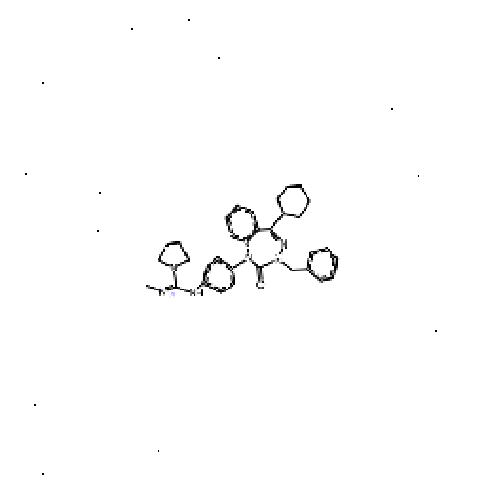 C/N=C(/Nc1ccc(N2C(=O)N(Cc3ccccc3)N=C(C3CCCCC3)c3ccccc32)cc1)N1CCCC1